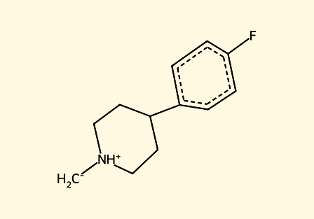 [CH2-][NH+]1CCC(c2ccc(F)cc2)CC1